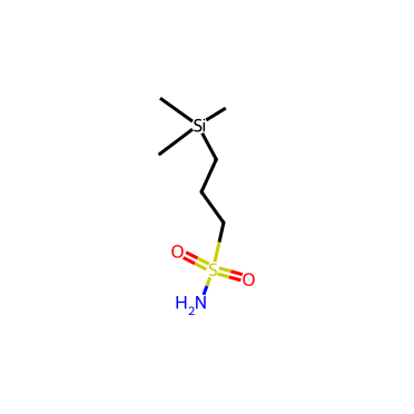 C[Si](C)(C)CCCS(N)(=O)=O